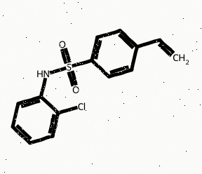 C=Cc1ccc(S(=O)(=O)Nc2ccccc2Cl)cc1